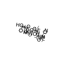 CC[C@H](C)[C@@H]([C@H](CC(=O)N1CCC[C@H]1[C@H](OC)[C@@H](C)C(=O)N[C@H](C)[C@H](O)c1ccccc1)OC)N(C)C(=O)[C@@H](NC(=O)[C@H](C(C)C)N(C)Cc1ccncc1)C(C)C